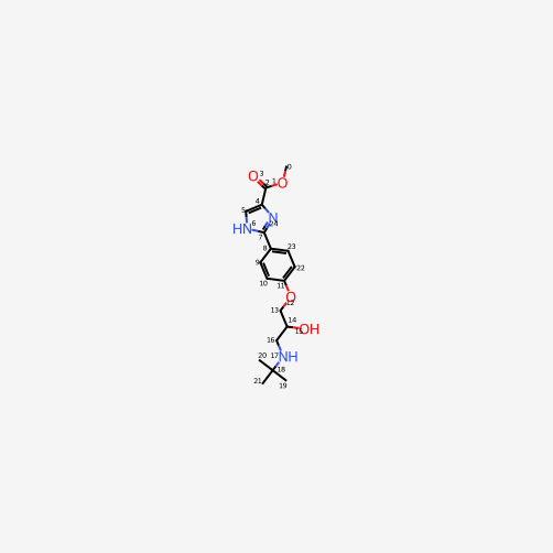 COC(=O)c1c[nH]c(-c2ccc(OCC(O)CNC(C)(C)C)cc2)n1